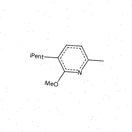 CCCC(C)c1ccc(C)nc1OC